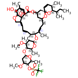 CC[C@@H](C)[C@H]1O[C@]2(C=C[C@@H]1C)C[C@@H]1C[C@@H](C/C=C(\C)[C@@H](O[C@H]3C[C@H](OC)[C@@H](O[C@H]4C[C@H](OC)[C@@H](OS(=O)(=O)C(F)(F)F)[C@H](C)O4)[C@H](C)O3)[C@@H](C)/C=C/C=C3\CO[C@@H]4[C@H](O)C(C)=C[C@@H](C(=O)O1)[C@]34O)O2